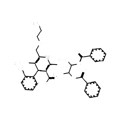 CCOC(=O)C1=C(COCCN)NC(C)=C(C(=O)OC)C1c1ccccc1Cl.O=C(OC(C(=O)O)C(OC(=O)c1ccccc1)C(=O)O)c1ccccc1